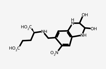 O=C(O)CC[C@H](NCc1cc2c(cc1[N+](=O)[O-])NC(O)C(O)N2)C(=O)O